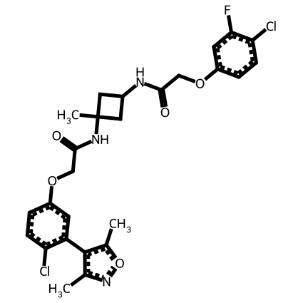 Cc1noc(C)c1-c1cc(OCC(=O)NC2(C)CC(NC(=O)COc3ccc(Cl)c(F)c3)C2)ccc1Cl